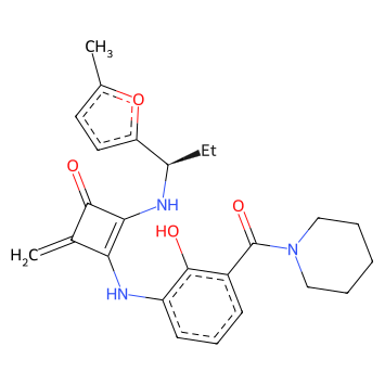 C=C1C(=O)C(N[C@H](CC)c2ccc(C)o2)=C1Nc1cccc(C(=O)N2CCCCC2)c1O